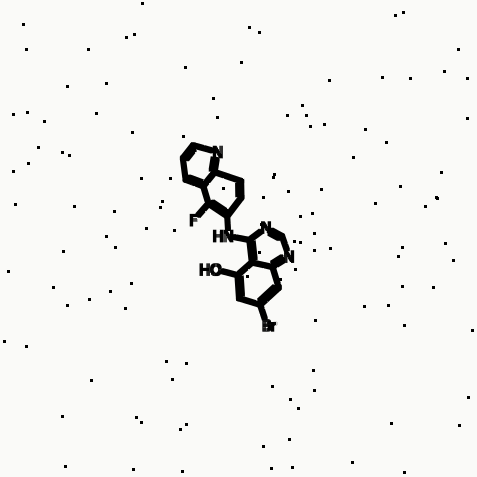 Oc1cc(Br)cc2ncnc(Nc3ccc4ncccc4c3F)c12